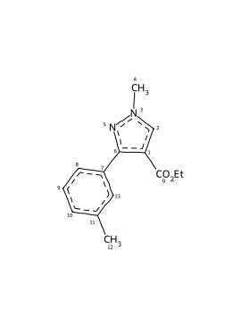 CCOC(=O)c1cn(C)nc1-c1cccc(C)c1